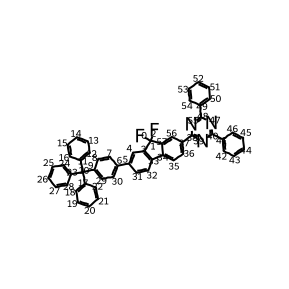 FC1(F)c2cc(-c3ccc(C(c4ccccc4)(c4ccccc4)c4ccccc4)cc3)ccc2-c2ccc(-c3nc(-c4ccccc4)nc(-c4ccccc4)n3)cc21